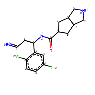 N=CCC(NC(=O)C1CC2CNCC2C1)c1cc(F)ccc1F